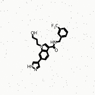 O=C(NCc1cccc(C(F)(F)F)c1)c1cn(CCCO)c2cc(-c3cn[nH]c3)ccc12